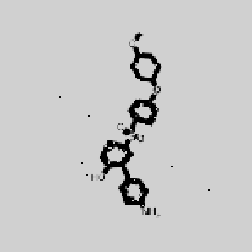 COC1CCC(Oc2ccc(S(=O)(=O)c3ccc(O)c(-c4ccc(N)cc4)c3)cc2)CC1